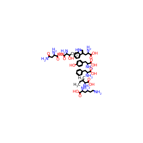 CC(O)C(N)C(=O)O.CCC(C)C(N)C(=O)O.NC(=O)CC(N)C(=O)O.NC(Cc1c[nH]c2ccccc12)C(=O)O.NC(Cc1ccc(O)cc1)C(=O)O.NC(Cc1ccccc1)C(=O)O.NCCCCC(N)C(=O)O